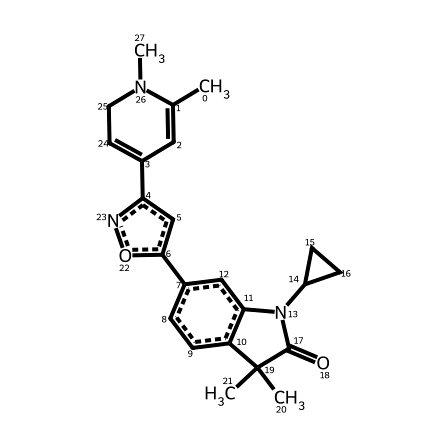 CC1=CC(c2cc(-c3ccc4c(c3)N(C3CC3)C(=O)C4(C)C)on2)=CCN1C